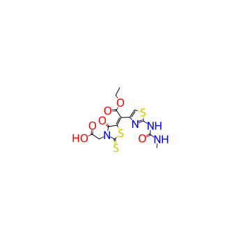 CCOC(=O)C(=C1SC(=S)N(CC(=O)O)C1=O)c1csc(NC(=O)NC)n1